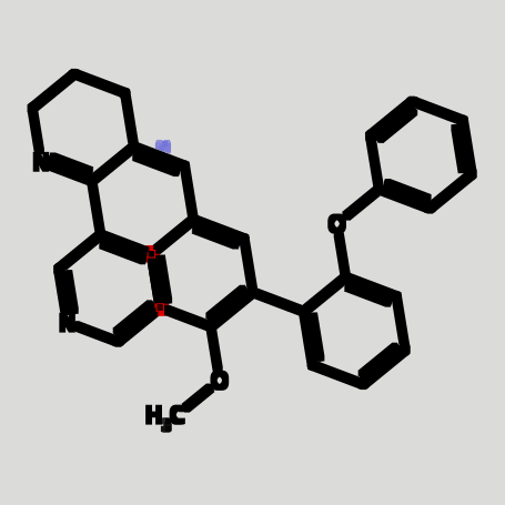 COc1ccc(/C=C2/CCCN=C2c2cccnc2)cc1-c1ccccc1Oc1ccccc1